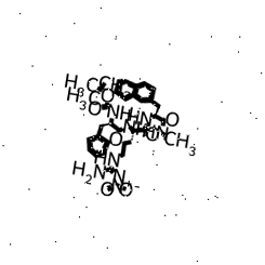 CNC(=O)[C@H](Cc1ccc2ccccc2c1)NC(=O)[C@H](CCCNC(N)=N[N+](=O)[O-])NC(=O)[C@@H](Cc1ccccc1)NC(=O)OC(C)(C)C